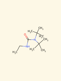 CCNC(=O)N(C(C)(C)C)C(C)(C)C